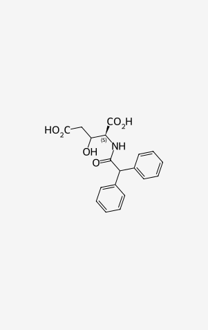 O=C(O)CC(O)[C@H](NC(=O)C(c1ccccc1)c1ccccc1)C(=O)O